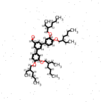 CCCCC(CC)COc1ccc(-c2cc(C=O)cc(-c3ccc(OCC(CC)CCCC)c(OCC(CC)CCCC)c3)c2)cc1OCC(CC)CCCC